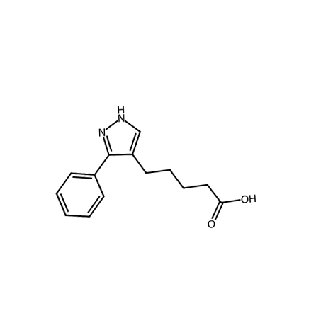 O=C(O)CCCCc1c[nH]nc1-c1ccccc1